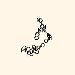 O=C1CCC(N2C(=O)c3cccc(NCCOCCOCc4cn(CCCNc5ncc(-c6cccnc6)cc5/C=C/c5ccc6ccccc6c5)nn4)c3C2=O)C(=O)N1